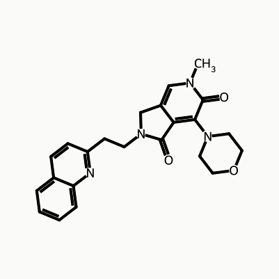 Cn1cc2c(c(N3CCOCC3)c1=O)C(=O)N(CCc1ccc3ccccc3n1)C2